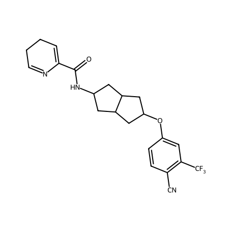 N#Cc1ccc(OC2CC3CC(NC(=O)C4=CCCC=N4)CC3C2)cc1C(F)(F)F